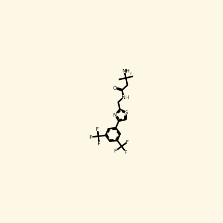 CC(C)(N)CC(=O)NCc1nc(-c2cc(C(F)(F)F)cc(C(F)(F)F)c2)cs1